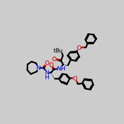 CC(C)(C)CC(=O)[C@H](Cc1ccc(OCc2ccccc2)cc1)NC(=O)[C@H](Cc1ccc(OCc2ccccc2)cc1)NC(=O)N1CCCCCC1